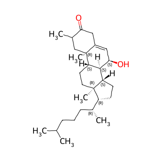 CC(C)CCC[C@@H](C)[C@H]1CC[C@H]2[C@@H]3[C@H](O)C=C4CC(=O)C(C)C[C@]4(C)[C@H]3CC[C@]12C